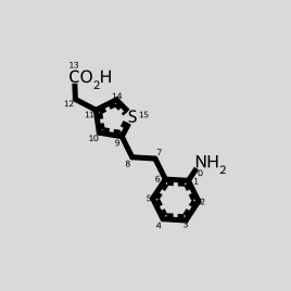 Nc1ccccc1CCc1cc(CC(=O)O)cs1